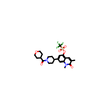 Cc1cc2c(OS(=O)(=O)C(F)(F)F)cc(C3CCN(C(=O)C4CCOCC4)CC3)cc2n(C)c1=O